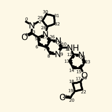 CN(C)C(=O)c1cc2cnc(Nc3ccc(OC4CC(C=O)C4)cn3)nc2n1C1CCCC1